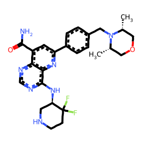 C[C@@H]1COC[C@H](C)N1Cc1ccc(-c2cc(C(N)=O)c3ncnc(N[C@@H]4CNCCC4(F)F)c3n2)cc1